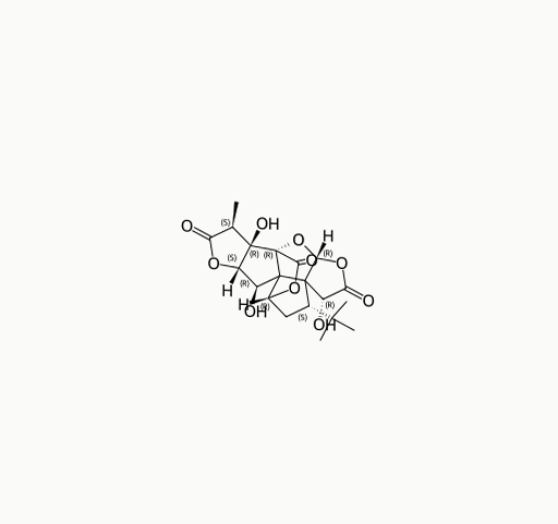 C[C@@H]1C(=O)O[C@H]2[C@H](O)C34[C@H]5C[C@@H](C(C)(C)C)C36[C@@H](OC(=O)[C@@H]6O)O[C@@]4(C(=O)O5)[C@@]12O